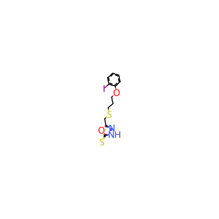 S=c1[nH]nc(CSCCCOc2ccccc2I)o1